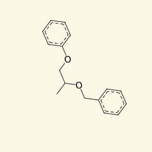 CC(COc1ccccc1)OCc1ccccc1